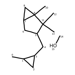 CC1CC1CC1CC2CC2(C)C1(C)C.CO